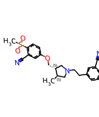 C[C@@H]1CN(CCc2cccc(C#N)c2)C[C@H]1COc1ccc(S(C)(=O)=O)c(C#N)c1